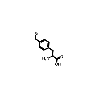 N[C@@H](Cc1ccc(CBr)cc1)C(=O)O